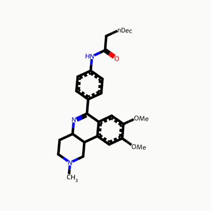 CCCCCCCCCCCC(=O)Nc1ccc(C2=NC3CCN(C)CC3c3cc(OC)c(OC)cc32)cc1